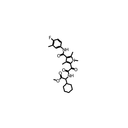 COC(=O)C(NC(=O)C(=O)c1c(C)c(C(=O)Nc2ccc(F)c(C)c2)c(C)n1C)C1CCCCC1